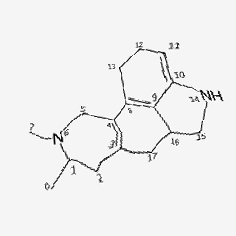 CC1CC2=C(CN1C)C1=C3C(=CCC1)NCC3C2